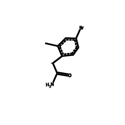 Cc1cc(Br)ccc1[CH]C(N)=O